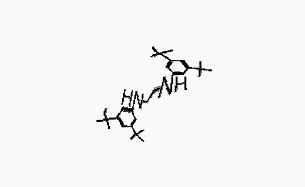 CC(C)(C)c1cc(NCCNc2cc(C(C)(C)C)cc(C(C)(C)C)c2)cc(C(C)(C)C)c1